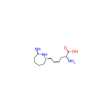 N=C1CCCC[C@H](C/C=C\C[C@H](N)C(=O)O)N1